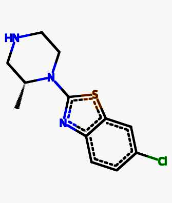 C[C@@H]1CNCCN1c1nc2ccc(Cl)cc2s1